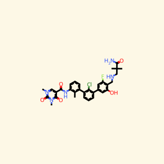 Cc1c(NC(=O)c2cn(C)c(=O)n(C)c2=O)cccc1-c1cccc(-c2cc(O)c(CNCC(C)(C)C(N)=O)c(F)c2)c1Cl